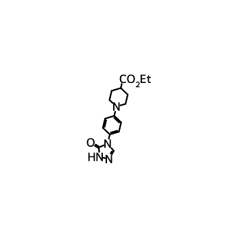 CCOC(=O)C1CCN(c2ccc(-n3cn[nH]c3=O)cc2)CC1